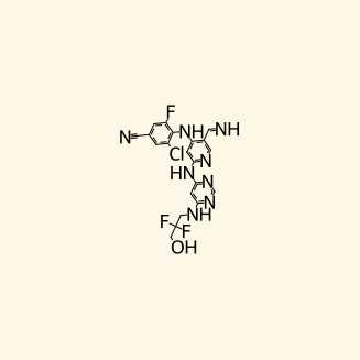 N#Cc1cc(F)c(Nc2cc(Nc3cc(NCC(F)(F)CO)ncn3)ncc2C=N)c(Cl)c1